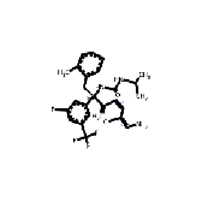 C=C(/C=C\C(Cl)=C/N)[C@@](Cc1ccccc1C)(NC(=O)NC(C)C)c1cc(F)cc(C(F)(F)F)c1